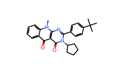 Cn1c2ccccc2c(=O)c2c(=O)n(C3CCCC3)c(-c3ccc(C(C)(C)C)cc3)nc21